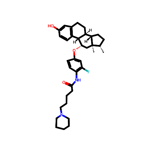 C[C@H]1CC[C@H]2[C@@H]3CCc4cc(O)ccc4[C@H]3[C@@H](Oc3ccc(NC(=O)CCCCN4CCCCC4)c(F)c3)C[C@]12C